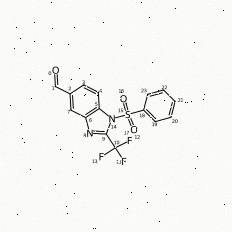 O=Cc1ccc2c(c1)nc(C(F)(F)F)n2S(=O)(=O)c1ccccc1